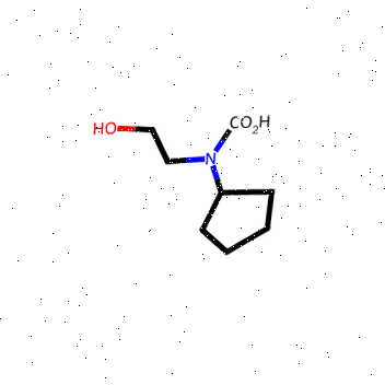 O=C(O)N(CCO)C1CCCC1